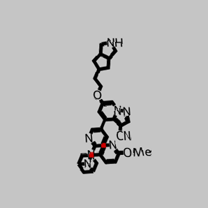 COc1ccc(CN2C3CC2CN(c2ccc(-c4cc(OCCC5CC6CNCC6C5)cn5ncc(C#N)c45)cn2)C3)cn1